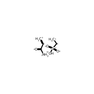 C=CC(N)=O.CCS(=O)(=O)O